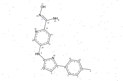 Cc1ccc(-c2coc(Nc3ccc(/C(N)=N/O)nc3)n2)cc1